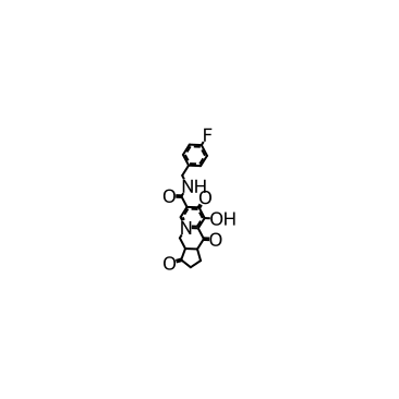 O=C(NCc1ccc(F)cc1)c1cn2c(c(O)c1=O)C(=O)C1CCC(=O)C1C2